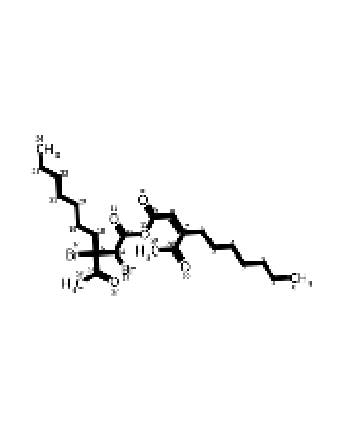 CCCCCCCC(=CC(=O)OC(=O)C(Br)C(Br)(CCCCCCC)C(C)=O)C(C)=O